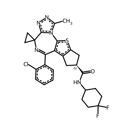 Cc1nnc2n1-c1sc3c(c1C(c1ccccc1Cl)=NC21CC1)C[C@H](C(=O)NC1CCC(F)(F)CC1)C3